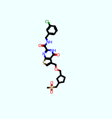 CS(=O)(=O)CC1CCC(COCc2csc3nc(C(=O)NCc4cccc(Cl)c4)[nH]c(=O)c23)C1